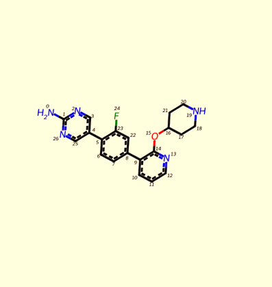 Nc1ncc(-c2ccc(-c3cccnc3OC3CCNCC3)cc2F)cn1